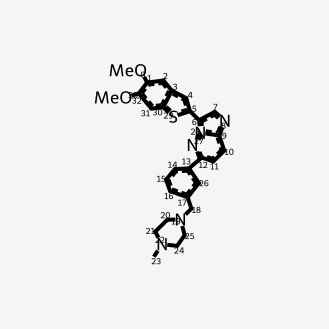 COc1cc2cc(-c3cnc4ccc(-c5cccc(CN6CCN(C)CC6)c5)nn34)sc2cc1OC